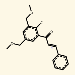 COCc1cc(COC)c(Cl)c(C(=O)/C=C/c2ccccc2)c1